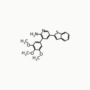 COc1cc(-c2cc(-c3cc4ccccc4s3)cnc2N)cc(OC)c1OC